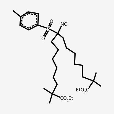 [C-]#[N+]C(CCCCCCC(C)(C)C(=O)OCC)(CCCCCCC(C)(C)C(=O)OCC)S(=O)(=O)c1ccc(C)cc1